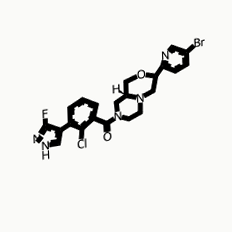 O=C(c1cccc(-c2c[nH]nc2F)c1Cl)N1CCN2CC(c3ccc(Br)cn3)OC[C@@H]2C1